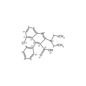 CCN(CC)c1nc2cccc(Cl)c2c(-c2ccccc2)c1C(=O)O